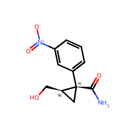 NC(=O)[C@@]1(c2cccc([N+](=O)[O-])c2)C[C@H]1CO